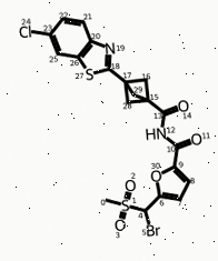 CS(=O)(=O)C(Br)c1ccc(C(=O)NC(=O)C23CC(c4nc5ccc(Cl)cc5s4)(C2)C3)o1